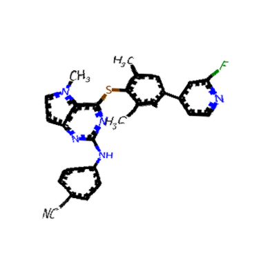 Cc1cc(-c2ccnc(F)c2)cc(C)c1Sc1nc(Nc2ccc(C#N)cc2)nc2ccn(C)c12